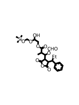 CCC(c1ccccc1)C1C(=O)OC(=O)C1C(OC=O)C(C)C(=O)OCC(O)OCO[Si](C)(C)C